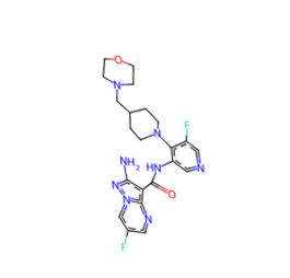 Nc1nn2cc(F)cnc2c1C(=O)Nc1cncc(F)c1N1CCC(CN2CCOCC2)CC1